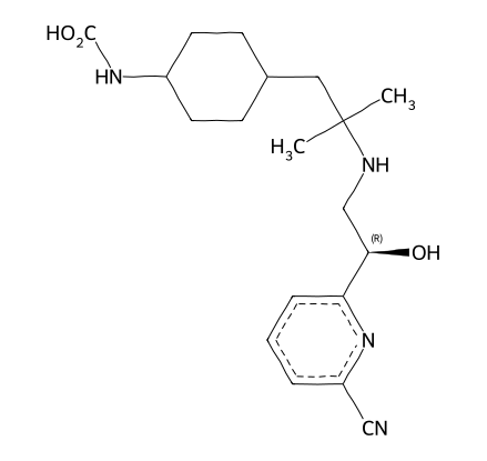 CC(C)(CC1CCC(NC(=O)O)CC1)NC[C@@H](O)c1cccc(C#N)n1